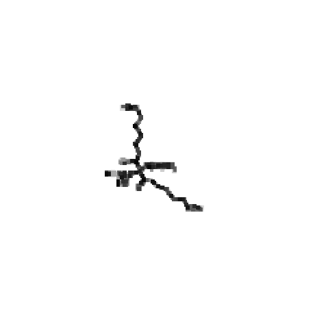 CCCCCCCCCCCCCCCC(=O)C(C)(C(=O)CCCCCCCCCCCCCCC)N(C)O.O=S(=O)(O)O